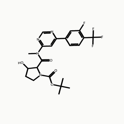 CN(C(=O)C1C(O)CCN1C(=O)OC(C)(C)C)c1cc(-c2ccc(C(F)(F)F)c(F)c2)ncn1